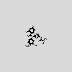 CCN(CC)C(=O)Oc1cnc(N(C(=O)c2ccc(Cl)cc2Cl)c2ccc(OC)c(OC)c2)s1